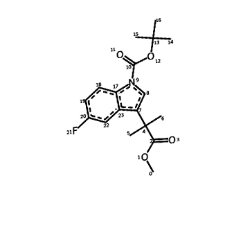 COC(=O)C(C)(C)c1cn(C(=O)OC(C)(C)C)c2ccc(F)cc12